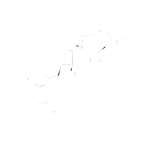 C[C@]12C=CC(=O)N[C@@H]1CC[C@@H]1[C@@H]2CC[C@]2(C)[C@@H](C(=O)Nc3cc(C(F)(F)F)ccc3C(F)(F)F)CC[C@@H]12.Cl